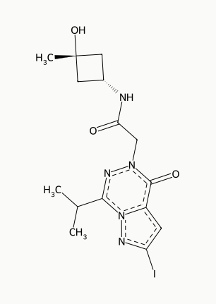 CC(C)c1nn(CC(=O)N[C@H]2C[C@@](C)(O)C2)c(=O)c2cc(I)nn12